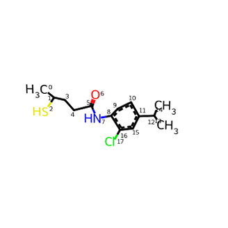 CC(S)CCC(=O)Nc1ccc(C(C)C)cc1Cl